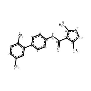 Cc1ccc(C(F)(F)F)c(-c2ccc(NC(=O)c3c(C)noc3C)cc2)c1